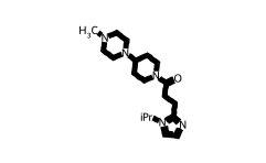 CC(C)n1ccnc1CCC(=O)N1CCC(N2CCN(C)CC2)CC1